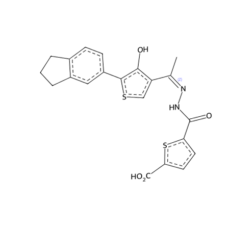 C/C(=N/NC(=O)c1ccc(C(=O)O)s1)c1csc(-c2ccc3c(c2)CCC3)c1O